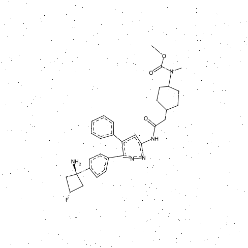 COC(=O)N(C)C1CCC(CC(=O)Nc2cc(-c3ccccc3)c(-c3ccc([C@]4(N)C[C@H](F)C4)cc3)nn2)CC1